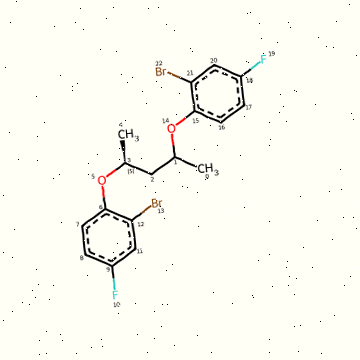 CC(C[C@H](C)Oc1ccc(F)cc1Br)Oc1ccc(F)cc1Br